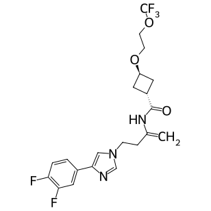 C=C(CCn1cnc(-c2ccc(F)c(F)c2)c1)NC(=O)[C@H]1C[C@H](OCCOC(F)(F)F)C1